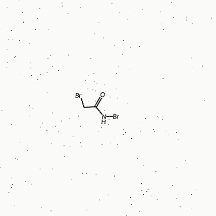 O=C(CBr)NBr